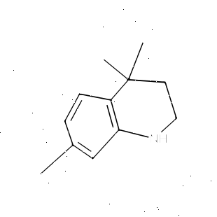 Cc1ccc2c(c1)NCCC2(C)C